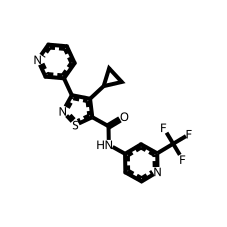 O=C(Nc1ccnc(C(F)(F)F)c1)c1snc(-c2cccnc2)c1C1CC1